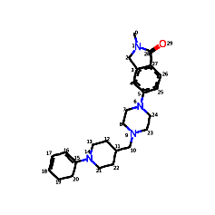 CN1Cc2cc(N3CCN(CC4CCN(C5=CC=CCC5)CC4)CC3)ccc2C1=O